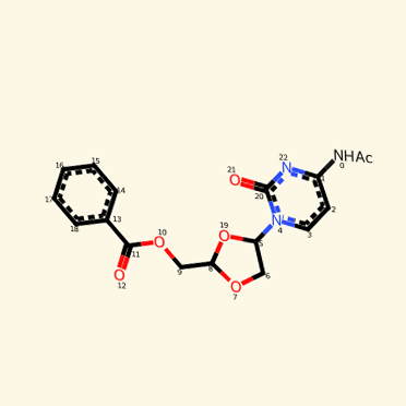 CC(=O)Nc1ccn(C2COC(COC(=O)c3ccccc3)O2)c(=O)n1